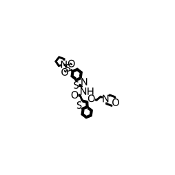 O=C(Nc1nc2ccc(S(=O)(=O)N3CCCC3)cc2s1)c1sc2ccccc2c1OCCN1CCOCC1